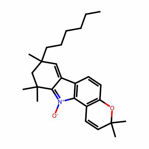 CCCCCCC1(C)C=C2C(=[N+]([O-])c3c2ccc2c3C=CC(C)(C)O2)C(C)(C)C1